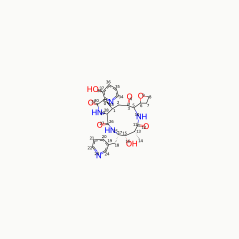 C[C@H]1CC(=O)C(C2CCO2)NC(=O)[C@H](C)[C@H](O)[C@H](Cc2cccnc2)NC(=O)[C@H]1NC(=O)c1ncccc1O